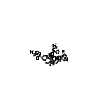 COC(=O)c1ccc2c(c1)CC[C@@H]1[C@@H]2[C@H](OC(C)=O)C[C@]2(C)C(c3cncc(F)c3)=CC[C@@]12C